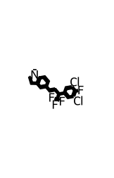 CN1CCc2cc(/C=C/C(c3cc(Cl)c(F)c(Cl)c3)C(F)(F)F)ccc21